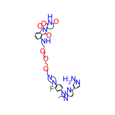 Cc1nc2ccc(-c3ccnc(N)c3)nc2n1-c1ccc(N2CCN(CCOCCOCCOCCNc3cccc4c3C(=O)N(C3CCC(=O)NC3=O)C4=O)CC2)c(F)c1